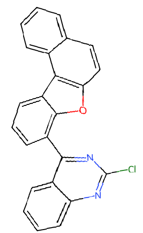 Clc1nc(-c2cccc3c2oc2ccc4ccccc4c23)c2ccccc2n1